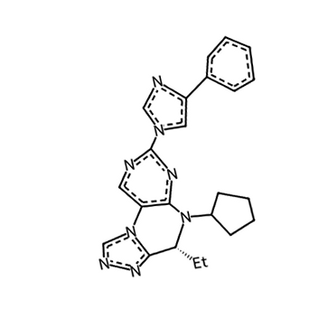 CC[C@@H]1c2nncn2-c2cnc(-n3cnc(-c4ccccc4)c3)nc2N1C1CCCC1